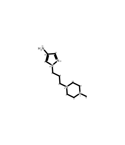 CN1CCN(CCCn2cc(N)cn2)CC1